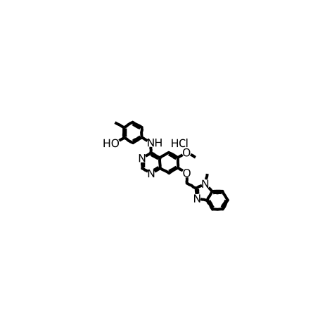 COc1cc2c(Nc3ccc(C)c(O)c3)ncnc2cc1OCc1nc2ccccc2n1C.Cl